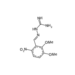 COc1ccc([N+](=O)[O-])c(C=NNC(=N)N)c1OC